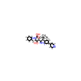 CC(C)(C)C(c1ccc(-c2ccncc2)cc1)[C@@H](N)C[C@@H](O)[C@H](Cc1ccccc1)NC(=O)O